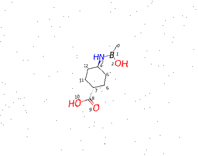 CB(O)N[C@H]1CC[C@H](C(=O)O)CC1